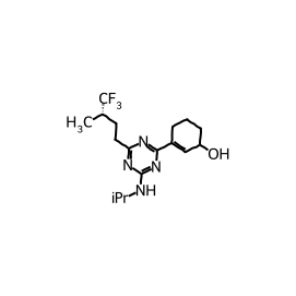 CC(C)Nc1nc(CC[C@H](C)C(F)(F)F)nc(C2=CC(O)CCC2)n1